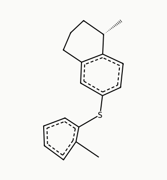 Cc1ccccc1Sc1ccc2c(c1)CCC[C@@H]2C